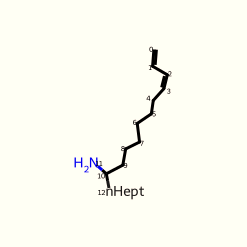 C=C/C=C\CCCCCCC(N)CCCCCCC